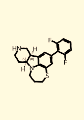 Fc1cccc(F)c1-c1cc2c3c(c1)[C@@H]1CNCC[C@@H]1N3CCCS2